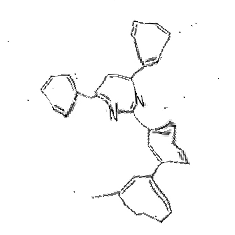 CC1=CC(c2cccc(-c3nc(-c4ccccc4)cc(-c4ccccc4)n3)c2)=CCC1